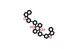 OC1(c2cccc(-c3ccc4oc5ccc6ccccc6c5c4c3)c2)c2ccccc2C(O)(c2cccc(-c3ccc4oc5ccc6ccccc6c5c4c3)c2)c2ccccc21